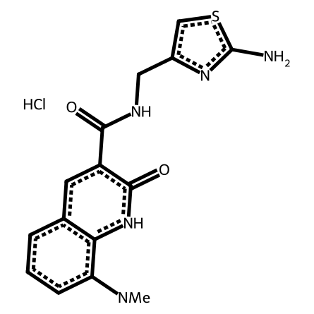 CNc1cccc2cc(C(=O)NCc3csc(N)n3)c(=O)[nH]c12.Cl